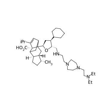 CCN(CC)CCN1CCN(CCNC[C@@H]2O[C@@H](C34C[C@@H]5[C@H](C)CC[C@H]5C5CC3C=C(C(C)C)[C@]54C(=O)O)C[C@H]2C2CCCCC2)CC1